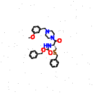 COc1cccc(CN2CCN(C(=O)[C@H](CSCc3ccccc3)NC(=O)OCc3ccccc3)CC2)c1